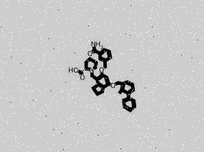 Cc1c(COc2cc(OCc3cccc(C(N)=O)c3)c(CN3CCCC[C@H]3C(=O)O)c3c2CCC3)cccc1-c1ccccc1